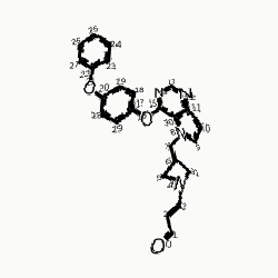 O=CC=CN1CC(Cn2ccc3ncnc(Oc4ccc(Oc5ccccc5)cc4)c32)C1